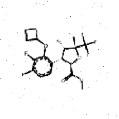 COC(=O)[C@@H]1O[C@@](C)(C(F)(F)F)[C@@H](C)[C@H]1c1ccc(F)c(F)c1OC1CCC1